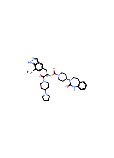 Cc1cc(C[C@@H](OC(=O)N2CCC(N3CCc4ccccc4NC3=O)CC2)C(=O)N2CCC(N3CCCC3)CC2)cc2cn[nH]c12